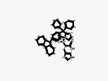 O=C(O)[C@H](Cc1c[nH]cn1)N[N+]1(C(=O)OCC2c3ccccc3-c3ccccc32)C=CN=C1C(c1ccccc1)(c1ccccc1)c1ccccc1